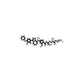 CCc1cc(NC2=CCC=CC3C(c4ccc(OC5C=CC=CC5)c(F)c4F)=CN=C23)ccc1C(=O)CC(=N)CCNC(=O)CCN